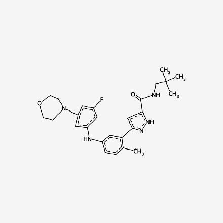 Cc1ccc(Nc2cc(F)cc(N3CCOCC3)c2)cc1-c1cc(C(=O)NCC(C)(C)C)[nH]n1